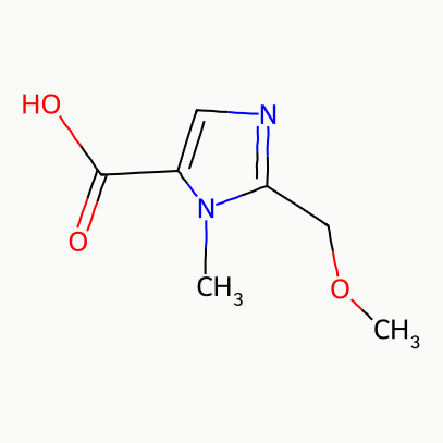 COCc1ncc(C(=O)O)n1C